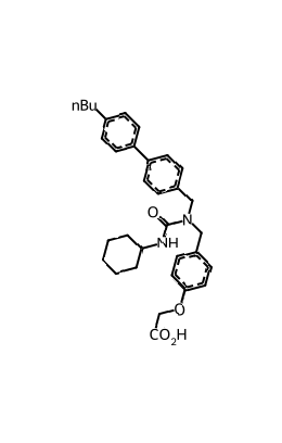 CCCCc1ccc(-c2ccc(CN(Cc3ccc(OCC(=O)O)cc3)C(=O)NC3CCCCC3)cc2)cc1